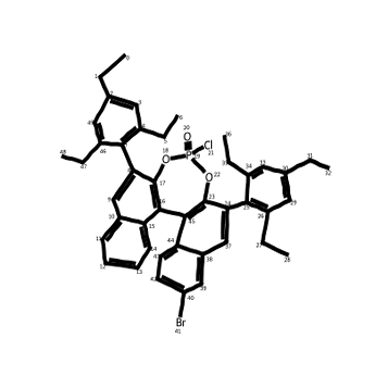 CCc1cc(CC)c(-c2cc3ccccc3c3c2OP(=O)(Cl)Oc2c(-c4c(CC)cc(CC)cc4CC)cc4cc(Br)ccc4c2-3)c(CC)c1